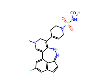 CN1C=C2C(=C(C3=CCN(S(=O)(=O)NC(=O)O)CC3)C1)NN=C1C=Cc3cc(F)cc2c31